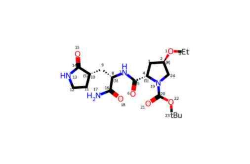 CCO[C@@H]1C[C@@H](C(=O)N[C@@H](C[C@@H]2CCNC2=O)C(N)=O)N(C(=O)OC(C)(C)C)C1